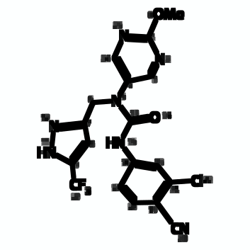 COc1ncc(N(Cc2cc(C(F)(F)F)[nH]n2)C(=O)Nc2ccc(C#N)c(Cl)c2)cn1